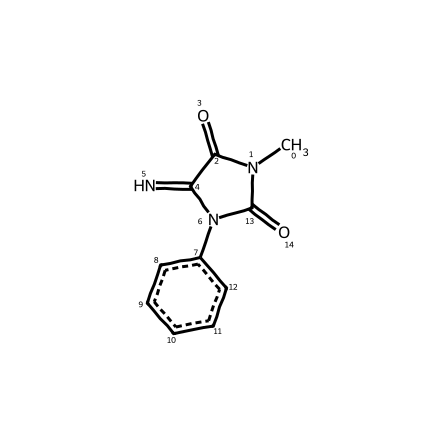 CN1C(=O)C(=N)N(c2ccccc2)C1=O